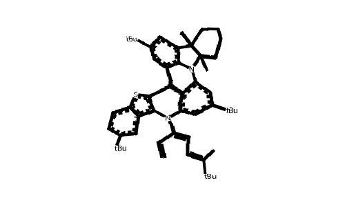 C=C/C(=C\C=C(/C)C(C)(C)C)N1c2cc(C(C)(C)C)cc3c2C(c2cc(C(C)(C)C)cc4c2N3C2(C)CCCCC42C)c2sc3ccc(C(C)(C)C)cc3c21